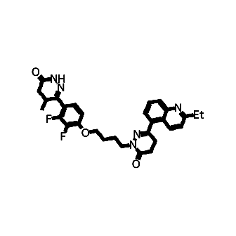 CCc1ccc2c(C3=NN(CCCCOc4ccc(C5=NNC(=O)CC5C)c(F)c4F)C(=O)CC3)cccc2n1